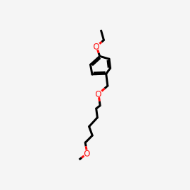 CCOc1ccc(COCCCCCCOC)cc1